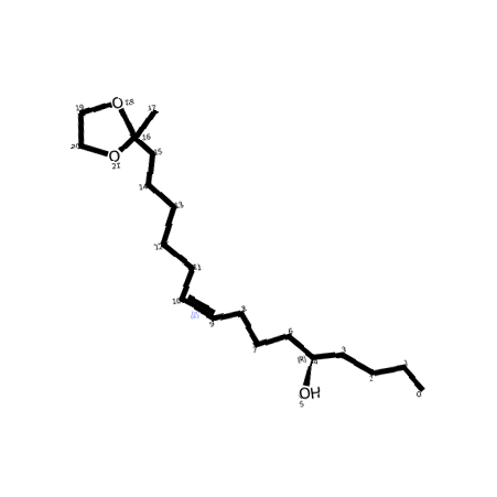 CCCC[C@@H](O)CCC/C=C\CCCCCC1(C)OCCO1